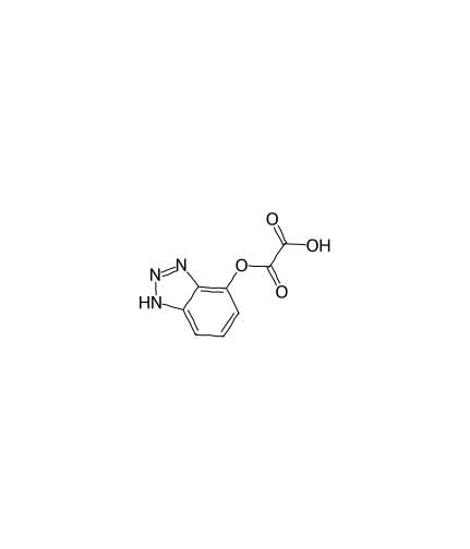 O=C(O)C(=O)Oc1cccc2[nH]nnc12